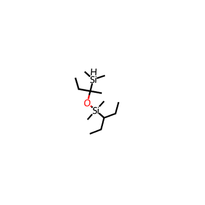 CCC(CC)[Si](C)(C)OC(C)(CC)[SiH](C)C